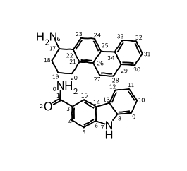 NC(=O)c1ccc2[nH]c3ccccc3c2c1.NC1CCCc2c1ccc1c2ccc2ccccc21